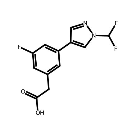 O=C(O)Cc1cc(F)cc(-c2cnn(C(F)F)c2)c1